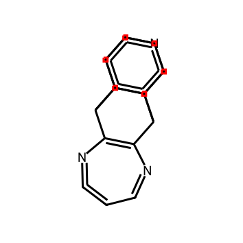 C1=CC=NC2=C(N=1)C1c3ccccc3C2c2cnccc21